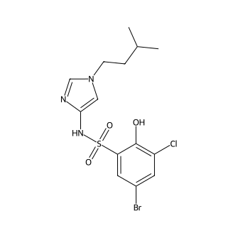 CC(C)CCn1cnc(NS(=O)(=O)c2cc(Br)cc(Cl)c2O)c1